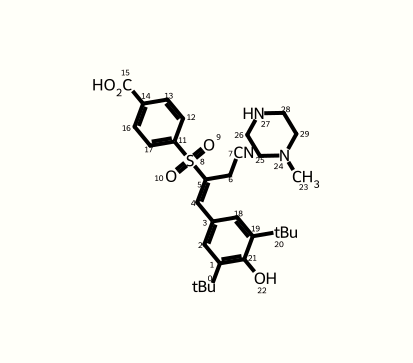 CC(C)(C)c1cc(/C=C(\CC#N)S(=O)(=O)c2ccc(C(=O)O)cc2)cc(C(C)(C)C)c1O.CN1CCNCC1